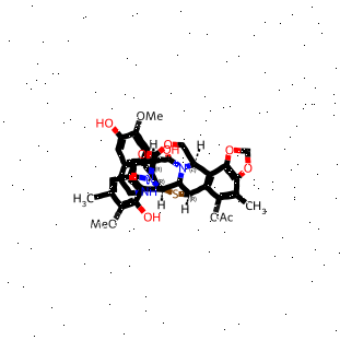 COc1cc2c(cc1O)CCN[C@]21CS[C@@H]2c3c(OC(C)=O)c(C)c4c(c3[C@H](COC1=O)N1C(O)[C@@H]3C5CN3[C@H](c3c5cc(C)c(OC)c3O)C21)OCO4